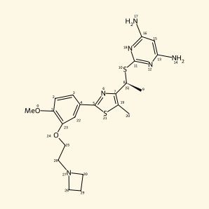 COc1ccc(-c2nc([C@H](C)Sc3nc(N)cc(N)n3)c(C)s2)cc1OCCN1CCC1